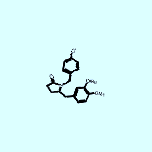 COc1ccc(CC2CCC(=O)N2Cc2ccc(Cl)cc2)cc1OCC(C)C